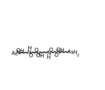 CC(=O)N(O)CCCCCNC(=O)CCC(=O)N(O)CCCCCNC(=O)CCC(=O)N(O)CCCCC[AsH2]